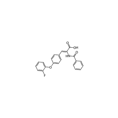 O=C(O)C(=Cc1ccc(Oc2ccccc2F)cc1)NC(=O)c1ccccc1